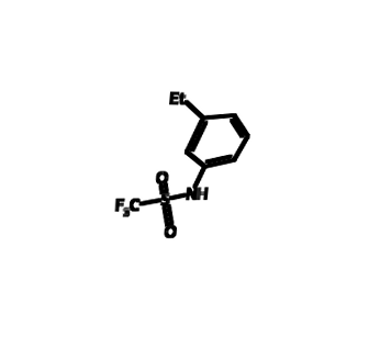 CCc1cccc(NS(=O)(=O)C(F)(F)F)c1